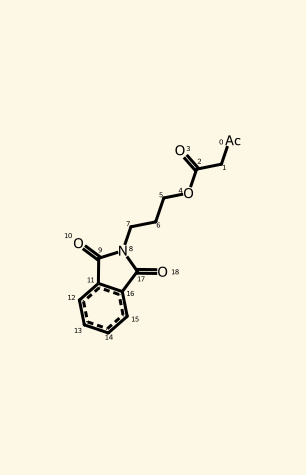 CC(=O)CC(=O)OCCCN1C(=O)c2ccccc2C1=O